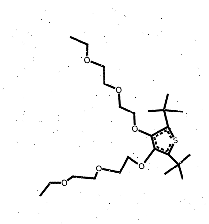 CCOCCOCCOc1c(C(C)(C)C)sc(C(C)(C)C)c1OCCOCCOCC